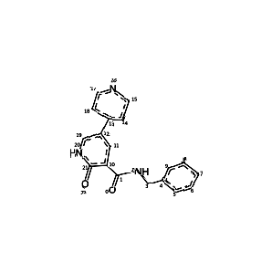 O=C(NCc1ccccc1)c1cc(-c2ccncc2)c[nH]c1=O